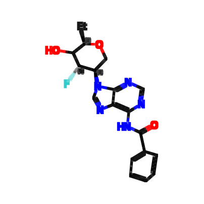 CC[C@H]1OC[C@@H](n2cnc3c(NC(=O)c4ccccc4)ncnc32)[C@H](F)C1O